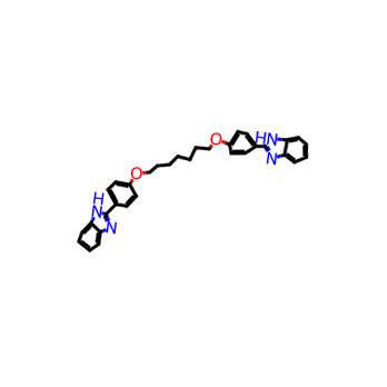 c1ccc2[nH]c(-c3ccc(OCCCCCCCOc4ccc(-c5nc6ccccc6[nH]5)cc4)cc3)nc2c1